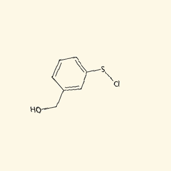 OCc1cccc(SCl)c1